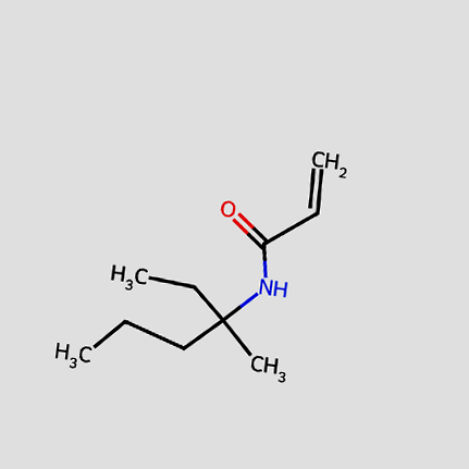 C=CC(=O)NC(C)(CC)CCC